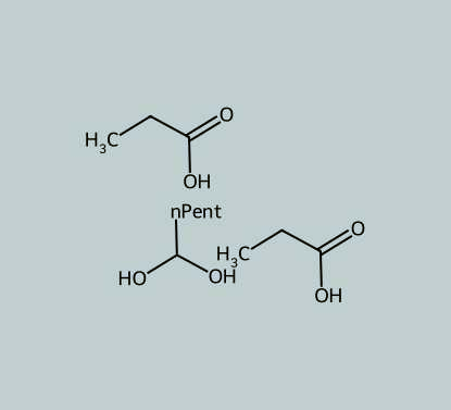 CCC(=O)O.CCC(=O)O.CCCCCC(O)O